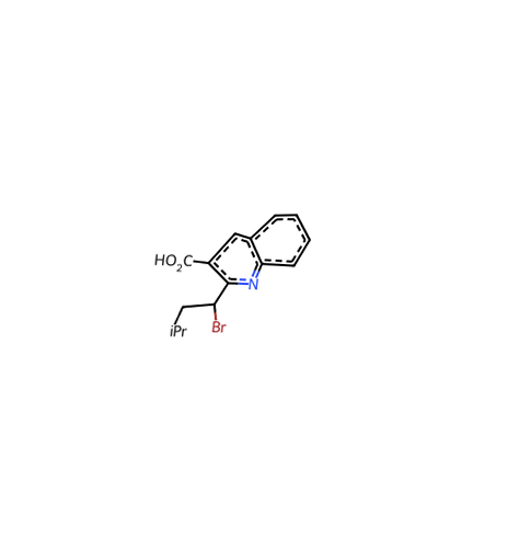 CC(C)CC(Br)c1nc2ccccc2cc1C(=O)O